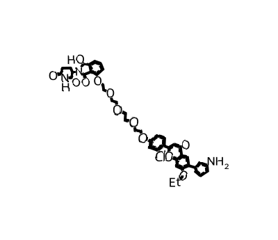 CCOc1cc2oc(-c3ccc(OCCOCCOCCOCCOc4cccc5c4C(=O)N(C4CCC(=O)NC4=O)C5O)cc3Cl)cc(=O)c2cc1-c1cccc(N)c1